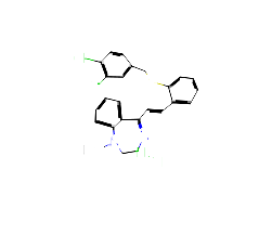 CN1CCN=C(C=Cc2ccccc2SCc2ccc(Cl)c(Cl)c2)c2ccccc21.Cl.Cl